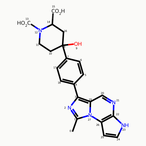 Cc1nc(-c2ccc(C3(O)CCN(C(=O)O)C(C(=O)O)C3)cc2)c2cnc3[nH]ccc3n12